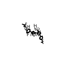 CC(F)CNCc1ccc(-c2cc(-c3nc(-c4ccc(SC(C)C)cc4)cnc3N)on2)c(F)c1